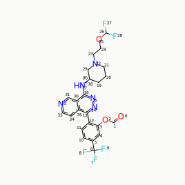 O=COc1cc(C(F)(F)F)ccc1-c1nnc(N[C@@H]2CCCN(CCOC(F)F)C2)c2cnccc12